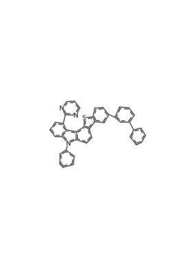 c1ccc(-c2cccc(-c3ccc4sc5c(ccc6c5c5c(-c7ncccn7)cccc5n6-c5ccccc5)c4c3)c2)cc1